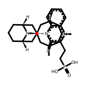 C[C@H]1C[C@@H](C)C[C@@H](N2[C@@H]3CCC[C@H]2C[C@@H](n2c(=O)c(CCP(=O)(O)O)nc4ccccc42)C3)C[C@@H](C)C1